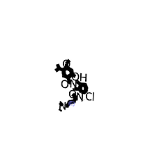 COc1cc(O)c(C(=O)N2Cc3ccc(Cl)c(N(C)C(=O)/C=C/CN(C)C)c3C2)cc1C(C)C